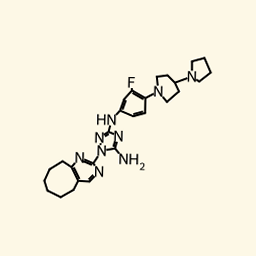 Nc1nc(Nc2ccc(N3CCC(N4CCCC4)CC3)c(F)c2)nn1-c1ncc2c(n1)CCCCCC2